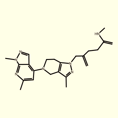 C=C(CCC(=C)NC)Cn1nc(C)c2c1CCN(c1cc(C)nc3c1cnn3C)C2